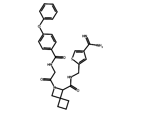 N=C(N)c1csc(CNC(=O)C2N(C(=O)CNC(=O)c3ccc(Oc4ccccc4)cc3)CC23CCC3)c1